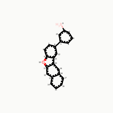 Bc1cccc(-c2ccc3oc4cc5ccccc5cc4c3c2)c1